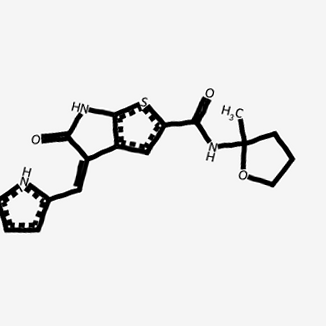 CC1(NC(=O)c2cc3c(s2)NC(=O)C3=Cc2ccc[nH]2)CCCO1